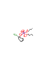 CCCCOP(=O)(OCCCC)Oc1ccccc1Cl